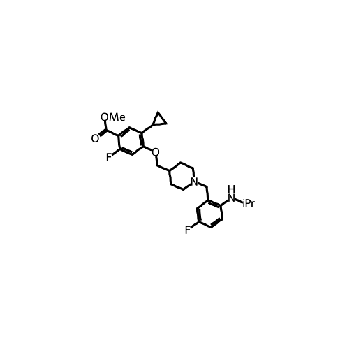 COC(=O)c1cc(C2CC2)c(OCC2CCN(Cc3cc(F)ccc3NC(C)C)CC2)cc1F